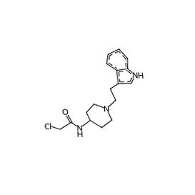 O=C(CCl)NC1CCN(CCc2c[nH]c3ccccc23)CC1